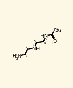 CC(C)(C)C(=O)NCCNCCN